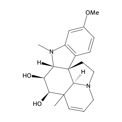 COc1ccc2c(c1)N(C)[C@H]1[C@H](O)[C@H](O)C3(C)C=CCN4CC[C@]21[C@@H]43